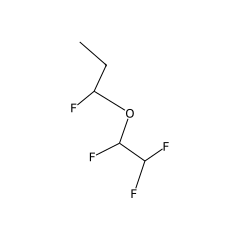 CCC(F)OC(F)C(F)F